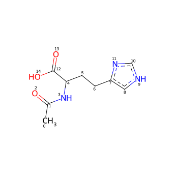 CC(=O)NC(CCc1c[nH]cn1)C(=O)O